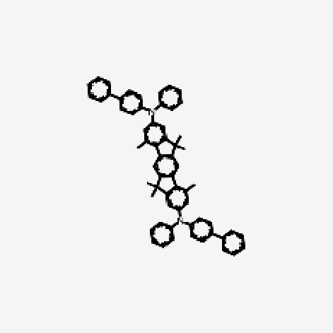 Cc1cc(N(c2ccccc2)c2ccc(-c3ccccc3)cc2)cc2c1-c1cc3c(cc1C2(C)C)-c1c(C)cc(N(c2ccccc2)c2ccc(-c4ccccc4)cc2)cc1C3(C)C